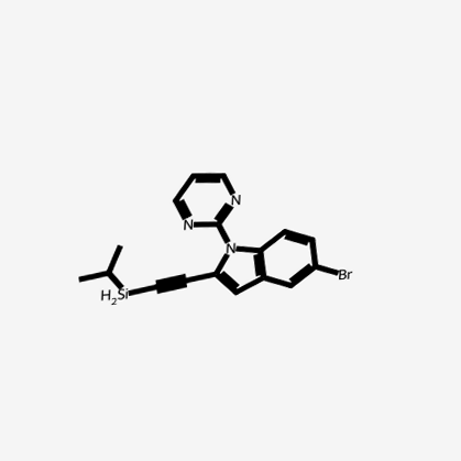 CC(C)[SiH2]C#Cc1cc2cc(Br)ccc2n1-c1ncccn1